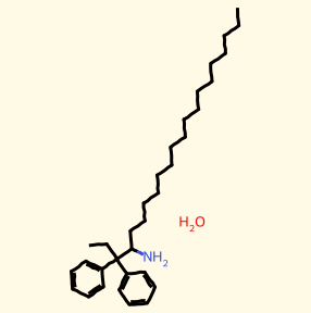 CCCCCCCCCCCCCCCCCC(N)C(CC)(c1ccccc1)c1ccccc1.O